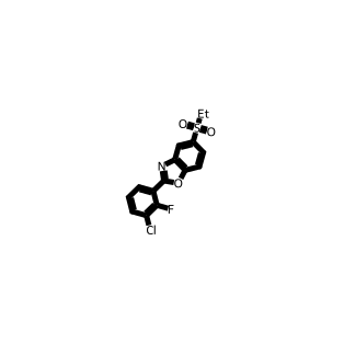 CCS(=O)(=O)c1ccc2oc(-c3cccc(Cl)c3F)nc2c1